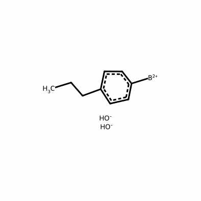 [B+2]c1ccc(CCC)cc1.[OH-].[OH-]